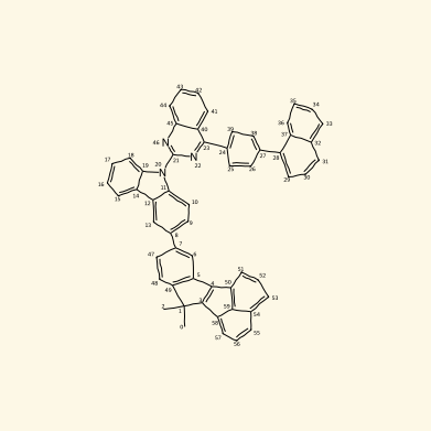 CC1(C)C2=C(c3cc(-c4ccc5c(c4)c4ccccc4n5-c4nc(-c5ccc(-c6cccc7ccccc67)cc5)c5ccccc5n4)ccc31)c1cccc3cccc2c13